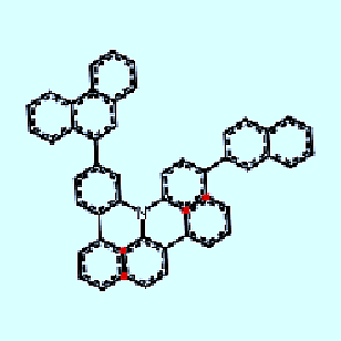 c1ccc(-c2ccccc2N(c2ccc(-c3ccc4ccccc4c3)cc2)c2cc(-c3cc4ccccc4c4ccccc34)ccc2-c2ccccc2)cc1